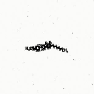 CCCCCCCCc1ccc(C2=CCC(C3CCC(CCC)CC3)C=C2)c(F)c1F